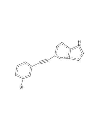 Brc1cccc(C#Cc2ccc3[nH]ccc3c2)c1